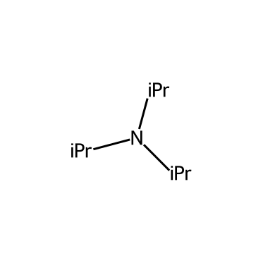 [CH2]C(C)N(C([CH2])C)C([CH2])C